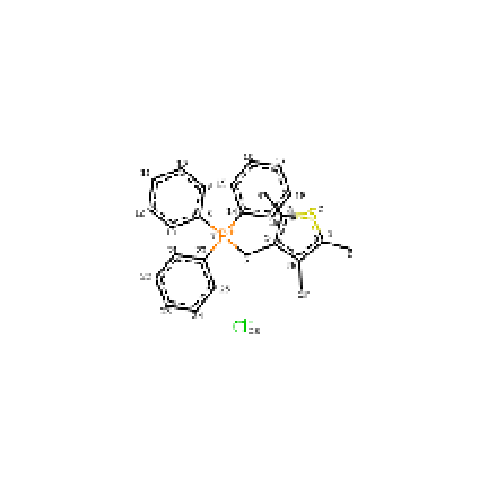 Cc1sc(C)c(C[P+](c2ccccc2)(c2ccccc2)c2ccccc2)c1C.[Cl-]